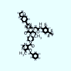 CCc1c(N2CCN(C(=O)c3ncnc(C)c3OCc3ccccc3)CC2)c(=O)n2nc(C3=CCC4(CCCO4)CC3)nc2n1CC(=O)Nc1ccc(C(F)(F)F)cc1F